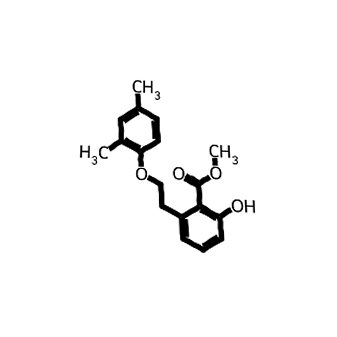 COC(=O)c1c(O)cccc1CCOc1ccc(C)cc1C